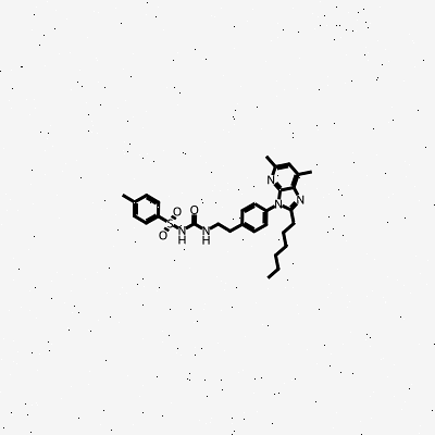 CCCCCCc1nc2c(C)cc(C)nc2n1-c1ccc(CCNC(=O)NS(=O)(=O)c2ccc(C)cc2)cc1